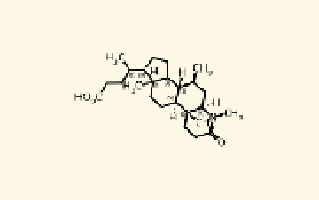 CC1C[C@H]2N(C)C(=O)CC[C@]2(C)[C@H]2CC[C@]3(C)[C@@H]([C@H](C)CCC(=O)O)CC[C@H]3[C@H]12